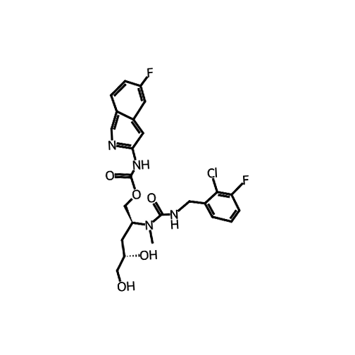 CN(C(=O)NCc1cccc(F)c1Cl)[C@H](COC(=O)Nc1cc2cc(F)ccc2cn1)C[C@H](O)CO